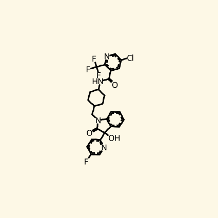 O=C(NC1CCC(CN2C(=O)C(O)(c3ccc(F)cn3)c3ccccc32)CC1)c1cc(Cl)cnc1C(F)(F)F